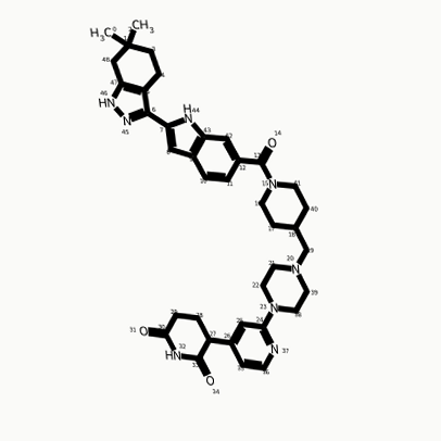 CC1(C)CCc2c(-c3cc4ccc(C(=O)N5CCC(CN6CCN(c7cc(C8CCC(=O)NC8=O)ccn7)CC6)CC5)cc4[nH]3)n[nH]c2C1